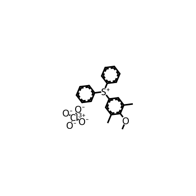 COc1c(C)cc([S+](c2ccccc2)c2ccccc2)cc1C.[O-][Cl+3]([O-])([O-])[O-]